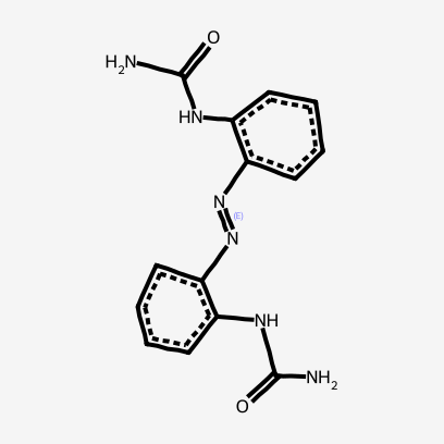 NC(=O)Nc1ccccc1/N=N/c1ccccc1NC(N)=O